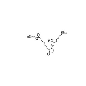 CCCCCCCCCCOC(=O)CCCCCCC1C(=O)CCC1SCC(O)CCCCCC(C)(C)C